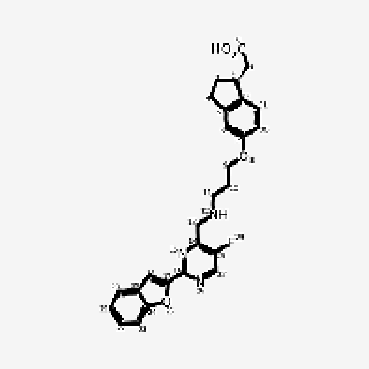 O=C(O)C[C@@H]1CCc2cc(OCCCNCc3nc(-c4cc5ccccc5o4)ncc3F)ccc21